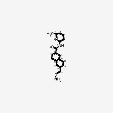 Cc1cccc(NC(=O)c2ccc3cc(C=NN)ccc3c2)n1